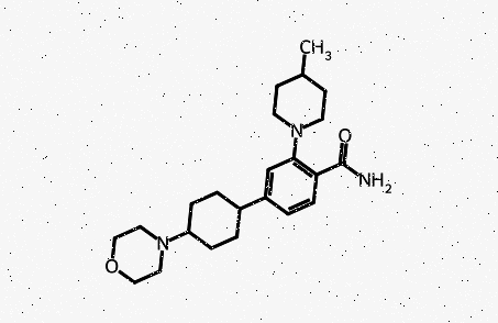 CC1CCN(c2cc(C3CCC(N4CCOCC4)CC3)ccc2C(N)=O)CC1